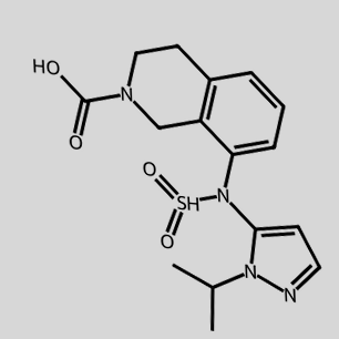 CC(C)n1nccc1N(c1cccc2c1CN(C(=O)O)CC2)[SH](=O)=O